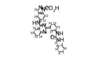 O=C(NCc1ccccc1)Nc1cccc(-c2nc(Nc3ccc4c(cnn4C(=O)O)c3)c3ccccc3n2)c1